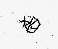 CCCCCCC(C)(O)C12CC3CC(CC(C3)C1)C2